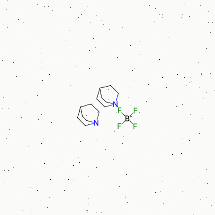 C1CN2CCC1CC2.C1CN2CCC1CC2.F[B-](F)(F)F